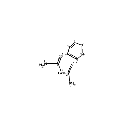 C1=CONN=C1.NC(=O)NC(N)=O